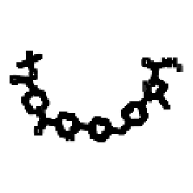 Cc1cc(C(N)=O)nn1-c1ccc(Cc2ccc(-c3ccc(C(=O)N4CCN(C(=O)OC(C)(C)C)CC4)cn3)cc2)cc1